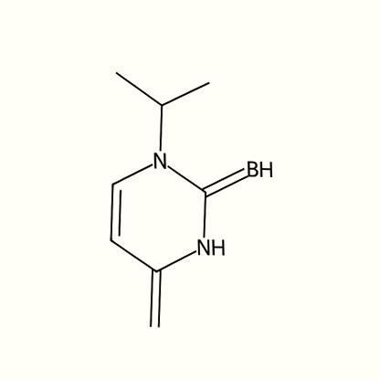 B=C1NC(=C)C=CN1C(C)C